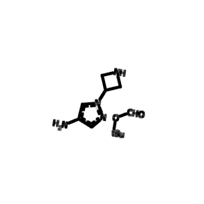 CC(C)(C)OC=O.Nc1cnn(C2CNC2)c1